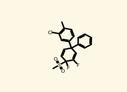 Cc1ccc(C2(c3ccccc3)C=CC(F)(S(C)(=O)=O)C(F)=C2)cc1Cl